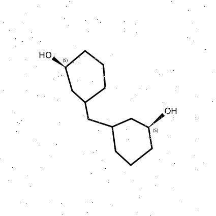 O[C@H]1CCCC(CC2CCC[C@H](O)C2)C1